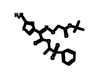 CC(OC(=O)C(=NOCC(=O)OC(C)(C)C)c1csc(N)n1)S(=O)(=O)c1ccccc1